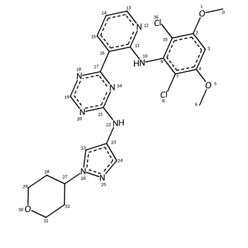 COc1cc(OC)c(Cl)c(Nc2ncccc2-c2ncnc(Nc3cnn(C4CCOCC4)c3)n2)c1Cl